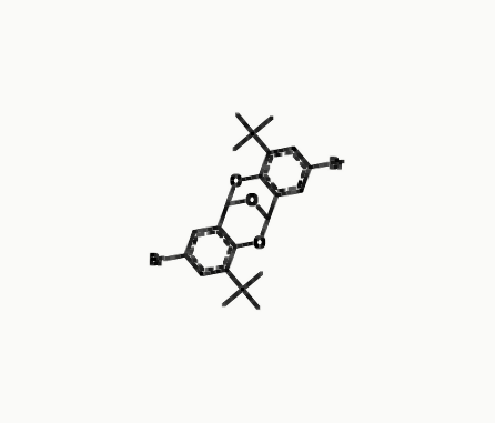 CC(C)(C)c1cc(Br)cc2c1OC1OC2Oc2c1cc(Br)cc2C(C)(C)C